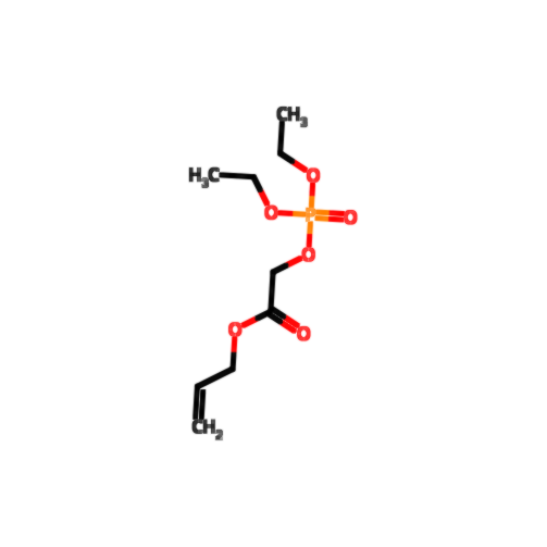 C=CCOC(=O)COP(=O)(OCC)OCC